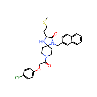 CSCCC1NC2(CCN(C(=O)COc3ccc(Cl)cc3)CC2)N(Cc2ccc3ccccc3c2)C1=O